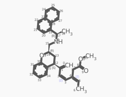 C=C(/C=C\C(=C/C)CC(=O)OC)[C@@H]1C[C@H](CN[C@H](C)c2cccc3ccccc23)Oc2ccccc21